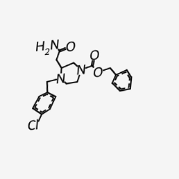 NC(=O)CC1CN(C(=O)OCc2ccccc2)CCN1Cc1ccc(Cl)cc1